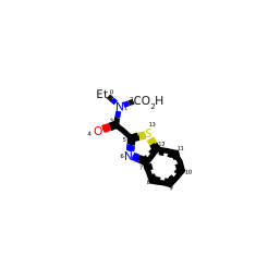 CCN(C(=O)O)C(=O)c1nc2ccccc2s1